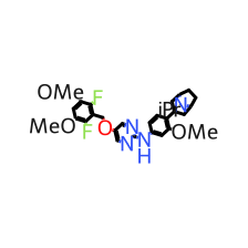 COc1cc(Nc2ncc(OCc3c(F)c(OC)cc(OC)c3F)cn2)ccc1C1CC2CCC(C1)N2C(C)C